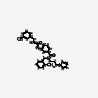 Cc1ccccc1CN(CCCn1ccnc1)C(=O)c1ccc2oc(NCc3cccc(Cl)c3)nc2c1